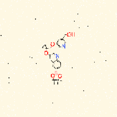 CC1(C)OB(c2ccc3ncc(OC4(COc5cncc(CO)c5)CC4)cc3c2)OC1(C)C